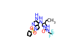 CCC1CN(C(=O)NCC(F)(F)F)CC1Nc1c(N)cnc2c1ccn2S(=O)(=O)c1ccccc1